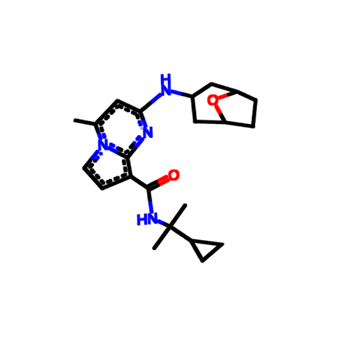 Cc1cc(NC2CC3CCC(C2)O3)nc2c(C(=O)NC(C)(C)C3CC3)ccn12